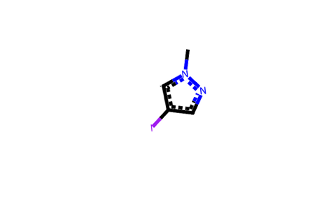 Cn1[c]c(I)cn1